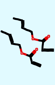 C=CC(=O)OCC=CC.C=CC(=O)OCC=CC